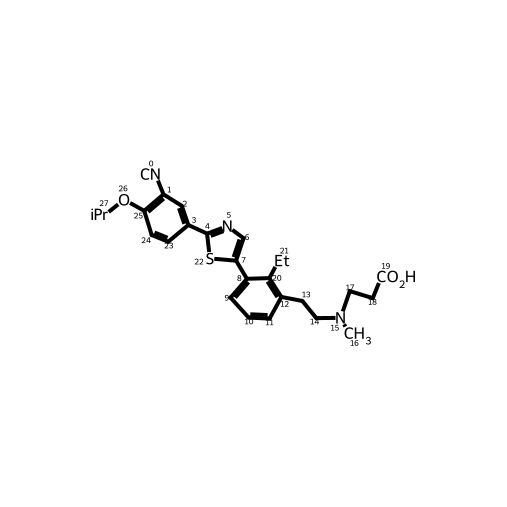 [C-]#[N+]c1cc(-c2ncc(-c3cccc(CCN(C)CCC(=O)O)c3CC)s2)ccc1OC(C)C